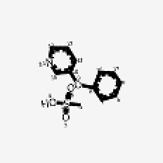 CS(=O)(=O)O.c1ccc(Oc2cccnc2)cc1